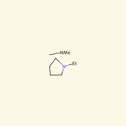 CCN1CCCC1.CNC